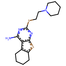 Nc1nc(SCCN2CCCCC2)nc2sc3c(c12)CCCC3